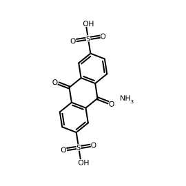 N.O=C1c2ccc(S(=O)(=O)O)cc2C(=O)c2ccc(S(=O)(=O)O)cc21